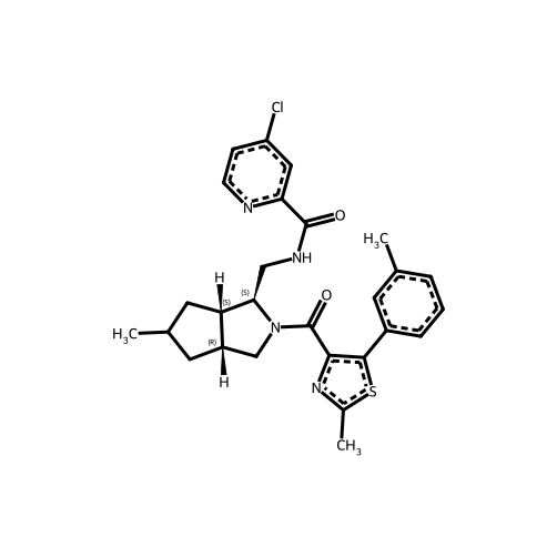 Cc1cccc(-c2sc(C)nc2C(=O)N2C[C@@H]3CC(C)C[C@@H]3[C@H]2CNC(=O)c2cc(Cl)ccn2)c1